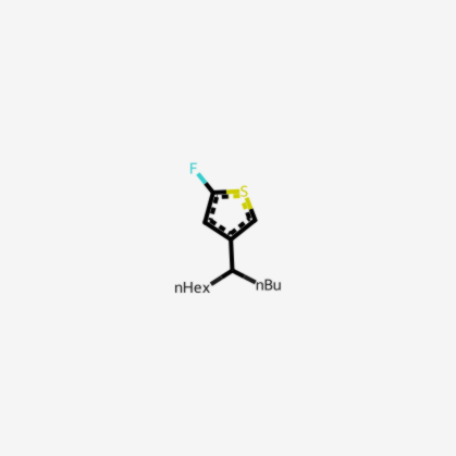 CCCCCCC(CCCC)c1csc(F)c1